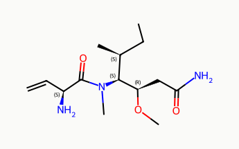 C=C[C@H](N)C(=O)N(C)[C@@H]([C@@H](C)CC)[C@@H](CC(N)=O)OC